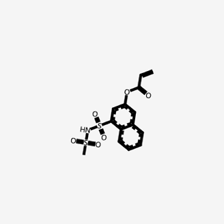 C=CC(=O)Oc1cc(S(=O)(=O)NS(C)(=O)=O)c2ccccc2c1